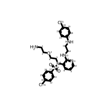 NCCOCCN(c1cccnc1NCCNc1ccc(Cl)cc1)S(=O)(=O)c1ccc(Cl)cc1